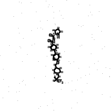 CC(C)(CN1CCC(COc2ccc(-c3ccc(C(=O)NC(=O)[C@@H]4CCCN4)cc3)cn2)CC1)C(F)(F)F